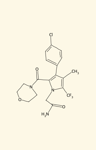 Cc1c(-c2ccc(Cl)cc2)c(C(=O)N2CCOCC2)n(CC(N)=O)c1C(F)(F)F